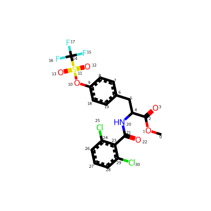 COC(=O)C(Cc1ccc(OS(=O)(=O)C(F)(F)F)cc1)NC(=O)c1c(Cl)cccc1Cl